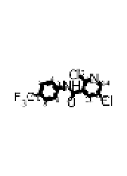 O=C(Nc1ccc(C(F)(F)F)cc1)c1cc(Cl)cnc1Cl